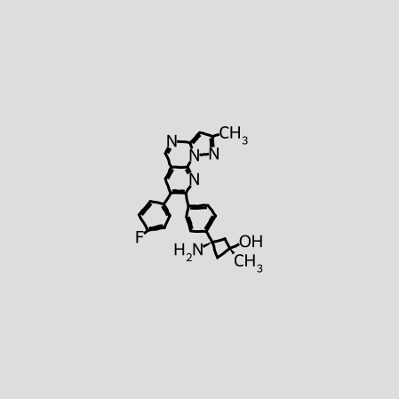 Cc1cc2ncc3cc(-c4ccc(F)cc4)c(-c4ccc([C@]5(N)C[C@](C)(O)C5)cc4)nc3n2n1